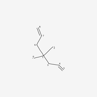 [CH2]C([CH2])(CC=C)CC=C